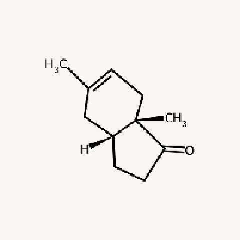 CC1=CC[C@]2(C)C(=O)CC[C@@H]2C1